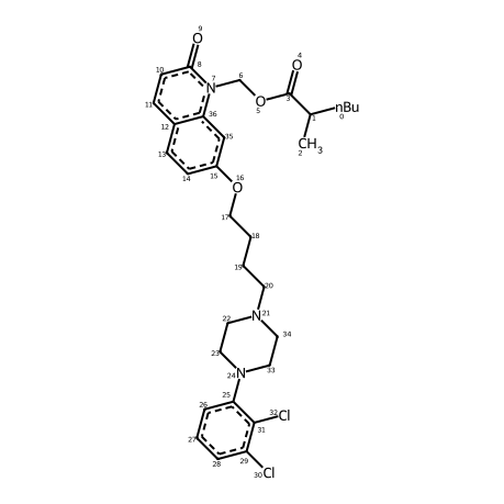 CCCCC(C)C(=O)OCn1c(=O)ccc2ccc(OCCCCN3CCN(c4cccc(Cl)c4Cl)CC3)cc21